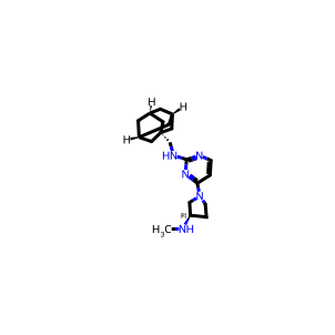 CN[C@@H]1CCN(c2ccnc(NC[C@]34C[C@H]5C[C@H](C[C@H](C5)C3)C4)n2)C1